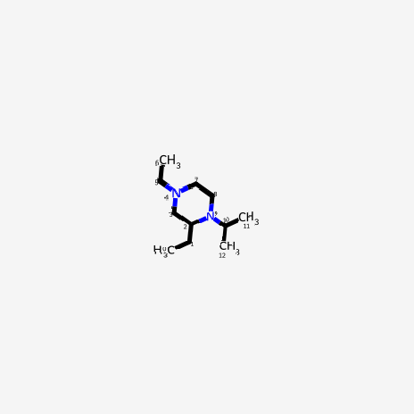 CCC1CN(CC)CCN1C(C)C